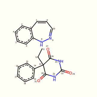 C1=Cc2ccccc2NN=C1.CCC1(c2ccccc2)C(=O)NC(=O)NC1=O